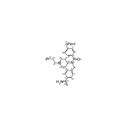 CCCCCc1ccc(C(=O)N(Cc2ccc(C(N)=S)cc2)C2CCN(CCC(C)C)CC2)cc1